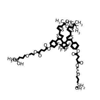 C[SiH](O)CCCOCCOC(=O)CCC(=O)Oc1ccc(-c2sc(-c3ccc(C(C)(C)C)s3)cc2C2=C(c3cc(-c4ccc(C(C)(C)C)s4)sc3-c3ccc(OC(=O)CCC(=O)OCCOCCC[SiH2]O)cc3)C(F)(F)C(F)(F)C2(F)F)cc1